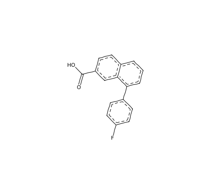 O=C(O)c1ccc2cccc(-c3ccc(F)cc3)c2c1